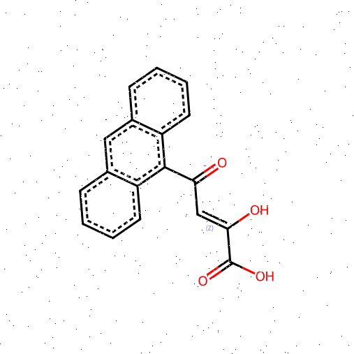 O=C(O)/C(O)=C/C(=O)c1c2ccccc2cc2ccccc12